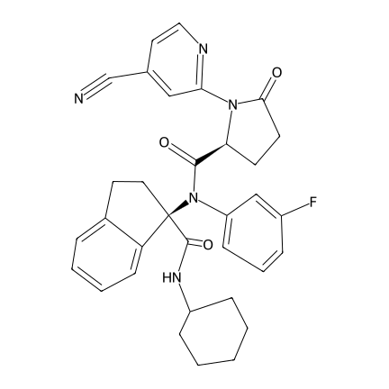 N#Cc1ccnc(N2C(=O)CC[C@H]2C(=O)N(c2cccc(F)c2)[C@]2(C(=O)NC3CCCCC3)CCc3ccccc32)c1